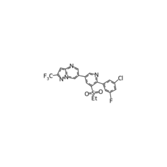 CCS(=O)(=O)c1cc(-c2cnc3cc(C(F)(F)F)nn3c2)cnc1-c1cc(F)cc(Cl)c1